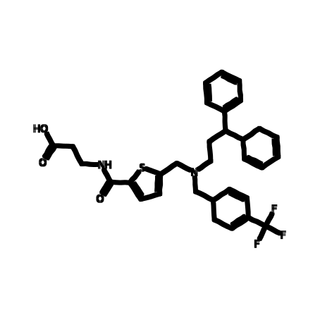 O=C(O)CCNC(=O)c1ccc(CN(CCC(c2ccccc2)C2C=CC=CC2)CC2C=CC(C(F)(F)F)=CC2)s1